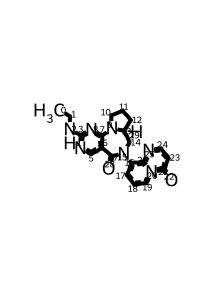 CCNc1ncc2c(n1)N1CCC[C@H]1CN(c1cccn3c(=O)ccnc13)C2=O